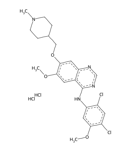 COc1cc(Nc2ncnc3cc(OCC4CCN(C)CC4)c(OC)cc23)c(Cl)cc1Cl.Cl.Cl